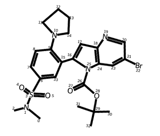 CN(C)S(=O)(=O)c1ccc(N2CCCC2)c(-c2cc3ncc(Br)cc3n2C(=O)OC(C)(C)C)c1